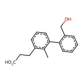 Cc1c(CCC(=O)O)cccc1-c1ccccc1CO